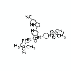 CN(C)S(=O)(=O)N1CCC(Nc2cc(-c3ccc4cc(C#N)cnn34)ncc2C(=O)NCC(F)C(C)(C)O)CC1